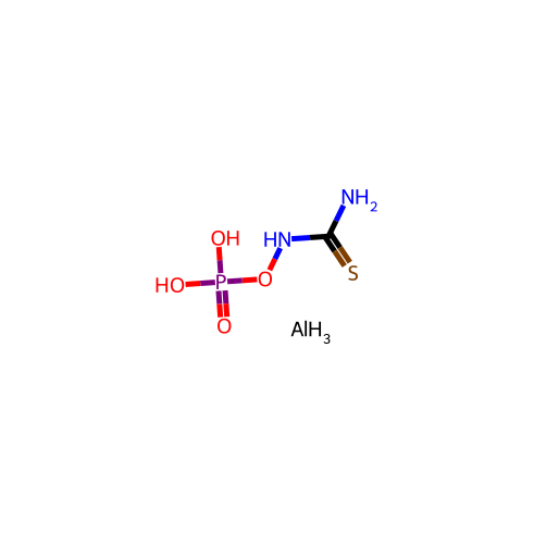 NC(=S)NOP(=O)(O)O.[AlH3]